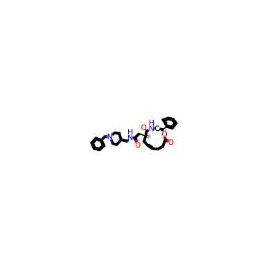 O=C(C[C@@H]1CC=CCCC(=O)O[C@H](c2ccccc2)CNC1=O)NCC1CCN(Cc2ccccc2)CC1